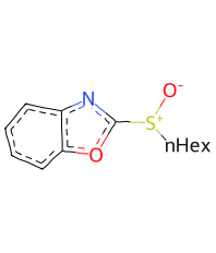 CCCCCC[S+]([O-])c1nc2ccccc2o1